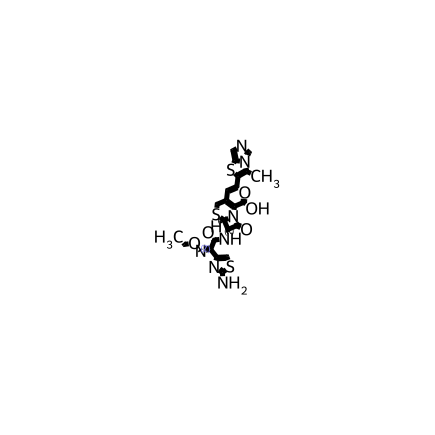 CCO/N=C(\C(=O)N[C@@H]1C(=O)N2C(C(=O)O)=C(C=Cc3sc4cncn4c3C)CS[C@H]12)c1csc(N)n1